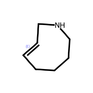 C1=C/CNCCCC/1